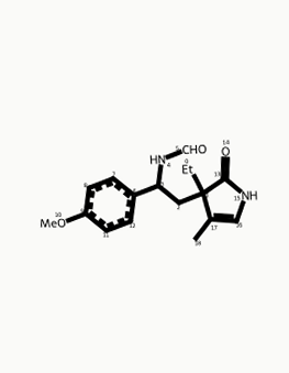 CCC1(CC(NC=O)c2ccc(OC)cc2)C(=O)NC=C1C